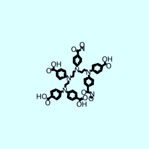 O=NC(=O)c1ccc(N(CCN(CCN(c2ccc(C(=O)O)cc2)c2ccc(C(=O)O)cc2)c2ccc(C(=O)O)cc2)CCN(c2ccc(C(=O)O)cc2)c2ccc(C(=O)N=O)cc2)cc1